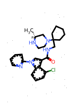 C[C@@H]1CN(C2(CNC(=O)c3cn(-c4ccccn4)c4cccc(Cl)c34)CCCCC2)CCN1